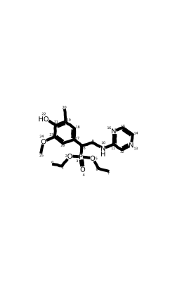 CCOP(=O)(OCC)C(CNc1cnccn1)c1cc(C)c(O)c(OC)c1